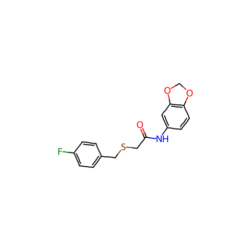 O=C(CSCc1ccc(F)cc1)Nc1ccc2c(c1)OCO2